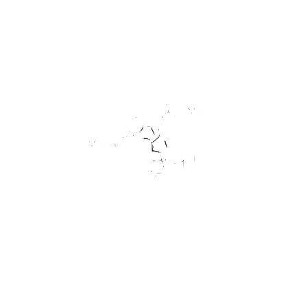 COCCCN1CCOc2ccc(CO[C@H]3CNCC[C@]3(OCC(C)(C)O)c3ccc(COC[C@@H](C)COC)cc3)cc21